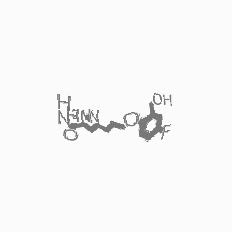 NC(=O)c1cc(CCCOc2ccc(F)cc2CO)n[nH]1